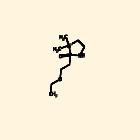 CCOCCP1(=O)NCC[N+]1(C)C